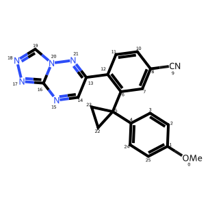 COc1ccc(C2(c3cc(C#N)ccc3-c3cnc4nncn4n3)CC2)cc1